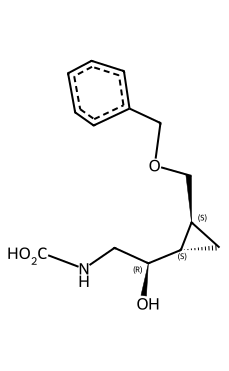 O=C(O)NC[C@H](O)[C@H]1C[C@@H]1COCc1ccccc1